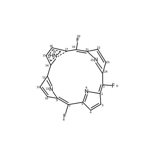 FC1=C2C=CC(=N2)C(F)=C2C=CC(=N2)c2ccc([nH]2)C(F)=C2C=CC1=N2